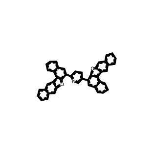 c1ccc2cc3c(cc2c1)oc1c(-c2ccc(-c4cc5ccccc5c5c4oc4cc6ccccc6cc45)nc2)cc2ccccc2c13